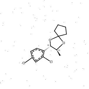 [CH2][C@@H]1OC2(CCCC2)O[C@H]1c1ccc(Cl)cc1Cl